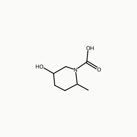 CC1CCC(O)CN1C(=O)O